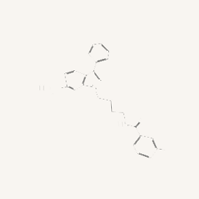 O=C(O)c1ccc2c(-c3ccccc3)cn(CCCCNC(=O)c3cccc(O)c3)c2c1